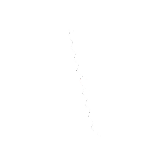 CCCCCCCC[SiH2]O[SiH2]CCCCCCCC